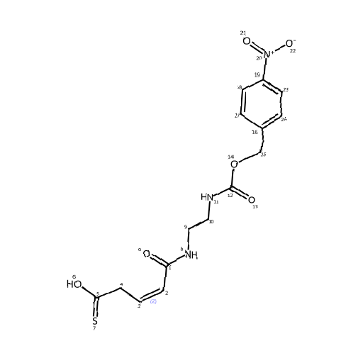 O=C(/C=C\CC(O)=S)NCCNC(=O)OCc1ccc([N+](=O)[O-])cc1